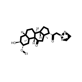 CCO[C@H]1C[C@@]2(C)[C@@H](CC[C@H]3[C@@H]4CC[C@H](C(=O)Cn5nccn5)[C@@]4(C)CC(=O)[C@@H]32)C[C@@H]1O